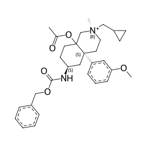 COc1cccc([C@@]23CC[N@+](C)(CC4CC4)CC2(OC(C)=O)CC[C@H](NC(=O)OCc2ccccc2)C3)c1